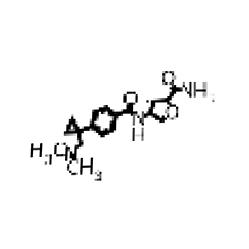 CN(C)CC1(c2ccc(C(=O)NC3[CH]C(C(N)=O)OC3)cc2)CC1